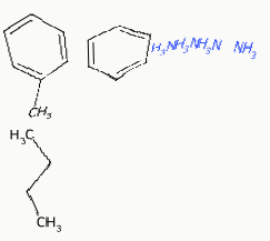 CCCC.Cc1ccccc1.N.N.N.N.c1ccccc1